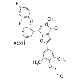 CC(=O)Nc1ccc(Oc2ccc(F)cc2F)c(-c2cn(C)c(=O)c3cc(-c4cc(C)c(OCCO)c(C)c4)oc23)c1